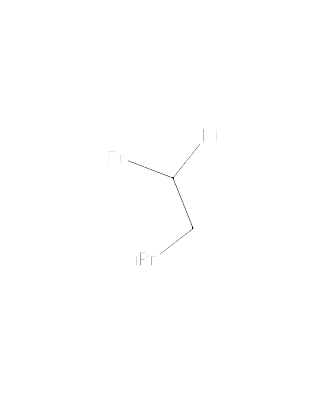 CCC([CH]C(C)C)CC